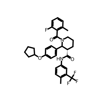 Cc1ccc(NC(=O)[C@H]2CCCN(C(=O)c3c(C)cccc3F)C2c2ccc(OC3CCCC3)cc2)cc1C(F)(F)F